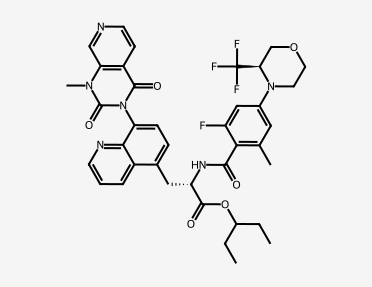 CCC(CC)OC(=O)[C@H](Cc1ccc(-n2c(=O)c3ccncc3n(C)c2=O)c2ncccc12)NC(=O)c1c(C)cc(N2CCOC[C@@H]2C(F)(F)F)cc1F